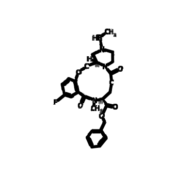 CBN1CCN2C(=O)CC[C@@H](C(=O)OCc3ccccc3)N(C)C(=O)c3cc(F)ccc3OC[C@@H]2C1